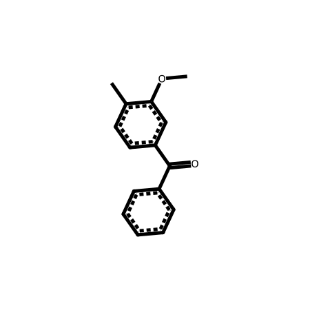 COc1cc(C(=O)c2ccccc2)ccc1C